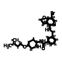 CN(C)CCOC1CCC(NC(=O)c2cccc(CNc3ncc(Br)c4c3CCO4)c2)NC1